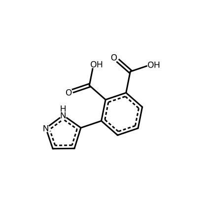 O=C(O)c1cccc(-c2ccn[nH]2)c1C(=O)O